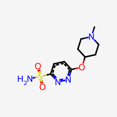 CN1CCC(Oc2ccc(S(N)(=O)=O)nn2)CC1